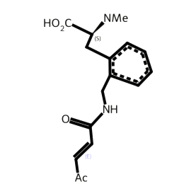 CN[C@@H](Cc1ccccc1CNC(=O)/C=C/C(C)=O)C(=O)O